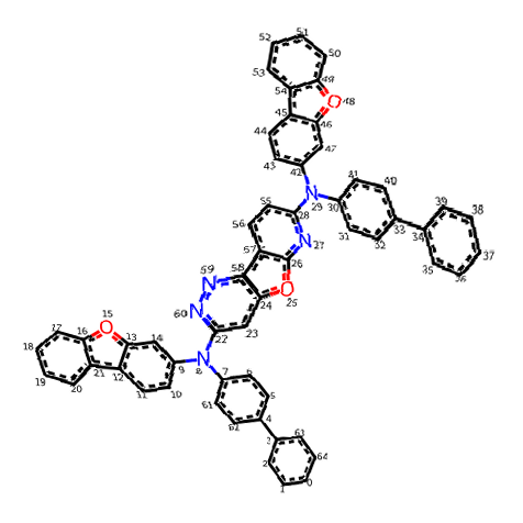 c1ccc(-c2ccc(N(c3ccc4c(c3)oc3ccccc34)c3cc4oc5nc(N(c6ccc(-c7ccccc7)cc6)c6ccc7c(c6)oc6ccccc67)ccc5c4nn3)cc2)cc1